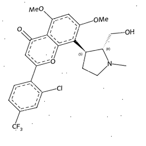 COc1cc(OC)c2c(=O)cc(-c3ccc(C(F)(F)F)cc3Cl)oc2c1[C@@H]1CCN(C)[C@H]1CO